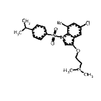 CC(C)c1ccc(S(=O)(=O)n2cc(OCCN(C)C)c3cc(Cl)cc(Br)c32)cc1